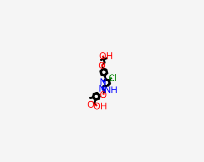 Cc1ccc(Oc2nc3nc(-c4ccc(OCC(C)(C)O)cc4)c(Cl)cc3[nH]2)cc1C(=O)O